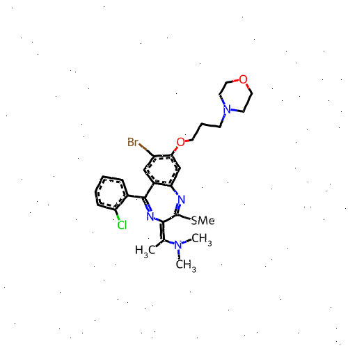 CSC1=Nc2cc(OCCCN3CCOCC3)c(Br)cc2C(c2ccccc2Cl)=NC1=C(C)N(C)C